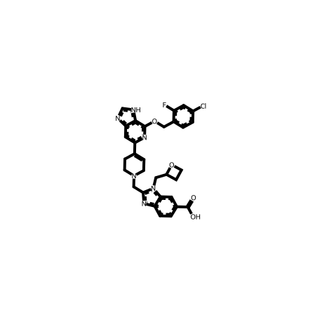 O=C(O)c1ccc2nc(CN3CC=C(c4cc5nc[nH]c5c(OCc5ccc(Cl)cc5F)n4)CC3)n(CC3CCO3)c2c1